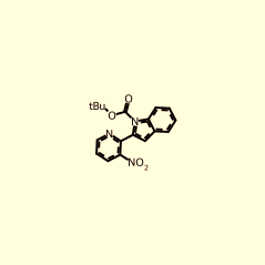 CC(C)(C)OC(=O)n1c(-c2ncccc2[N+](=O)[O-])cc2ccccc21